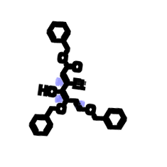 CCC(=C\C(=O)OCc1ccccc1)/C(O)=C(\C=C\OCc1ccccc1)OCc1ccccc1